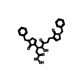 O=C(CC(C1=CCN(Cc2ccccc2)C1=O)N(O)C(=O)CCC1=CCN(Cc2ccccc2)C1=O)NO